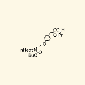 CCCCCCCN(CCCOc1ccc(CC(OC(C)C)C(=O)O)cc1)C(=O)OCC(C)C